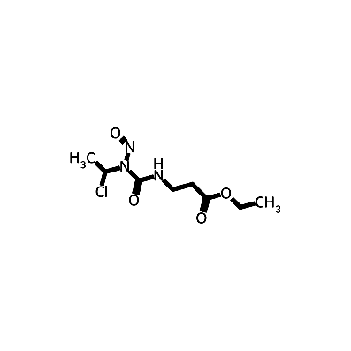 CCOC(=O)CCNC(=O)N(N=O)C(C)Cl